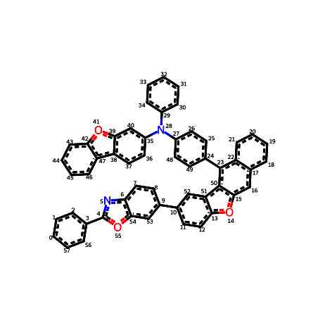 c1ccc(-c2nc3ccc(-c4ccc5oc6cc7ccccc7c(-c7ccc(N(c8ccccc8)c8ccc9c(c8)oc8ccccc89)cc7)c6c5c4)cc3o2)cc1